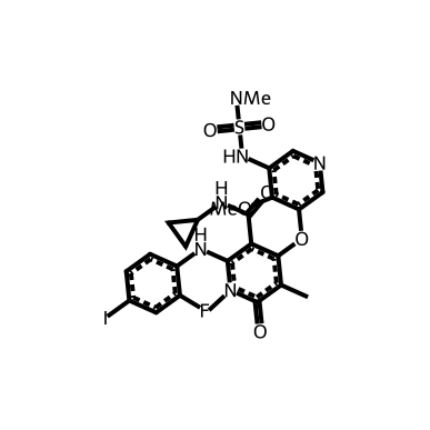 CNS(=O)(=O)Nc1cncc(Oc2c(C(=O)NC3CC3)c(Nc3ccc(I)cc3F)n(C)c(=O)c2C)c1OC